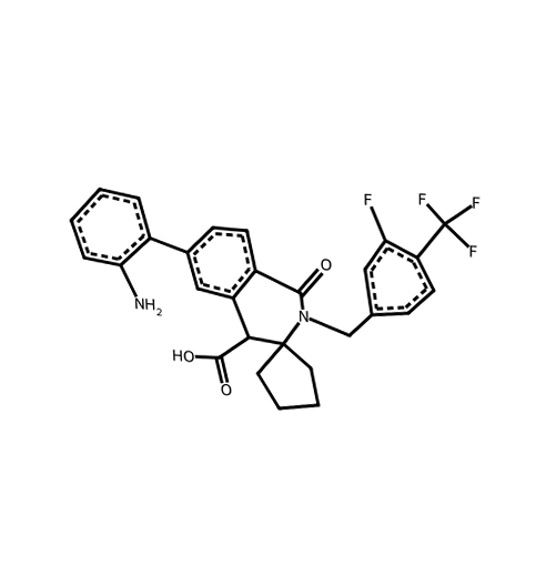 Nc1ccccc1-c1ccc2c(c1)C(C(=O)O)C1(CCCC1)N(Cc1ccc(C(F)(F)F)c(F)c1)C2=O